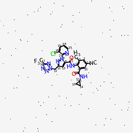 [C-]#[N+]c1cc(C)c(NC(=O)c2cc(Cn3nnc(C(F)(F)F)n3)nn2-c2ncccc2Cl)c(C(=O)NC2CC2)c1